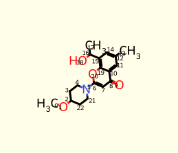 COC1CCN(c2cc(=O)c3cc(C)cc(C(C)O)c3o2)CC1